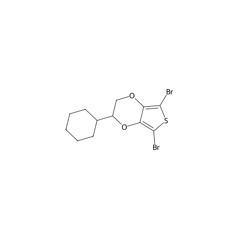 Brc1sc(Br)c2c1OCC(C1CCCCC1)O2